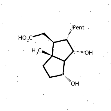 CCC[C@H](C)[C@@H]1[C@H](O)C2[C@H](O)CC[C@]2(C)[C@H]1CC(=O)O